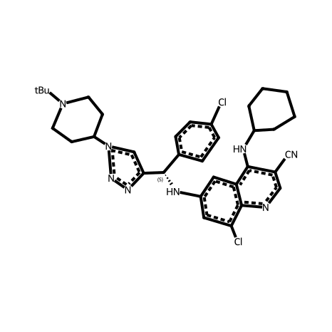 CC(C)(C)N1CCC(n2cc([C@@H](Nc3cc(Cl)c4ncc(C#N)c(NC5CCCCC5)c4c3)c3ccc(Cl)cc3)nn2)CC1